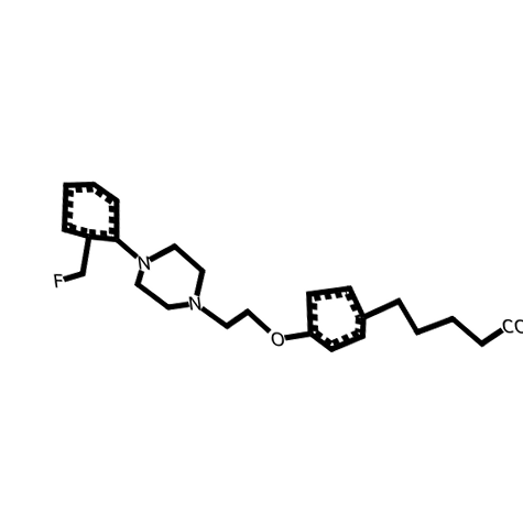 O=C(O)CCCCc1ccc(OCCN2CCN(c3ccccc3CF)CC2)cc1